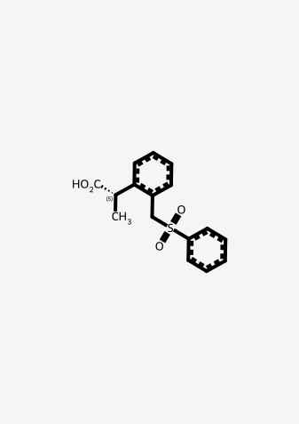 C[C@H](C(=O)O)c1ccccc1CS(=O)(=O)c1ccccc1